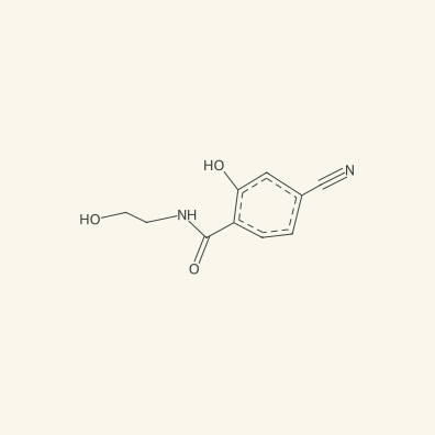 N#Cc1ccc(C(=O)NCCO)c(O)c1